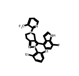 CCc1cccc(CC)c1-n1nc2c(c1-c1ccc(F)c3[nH]ccc13)CN(c1ncccc1C(F)(F)F)CC2